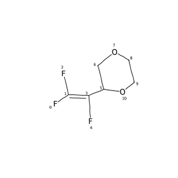 FC(F)=C(F)C1COCCO1